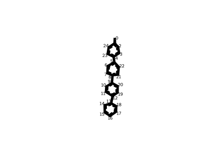 Cc1ccc(-c2ccc(-c3ccc(-c4ccccc4)cc3)cc2)cc1